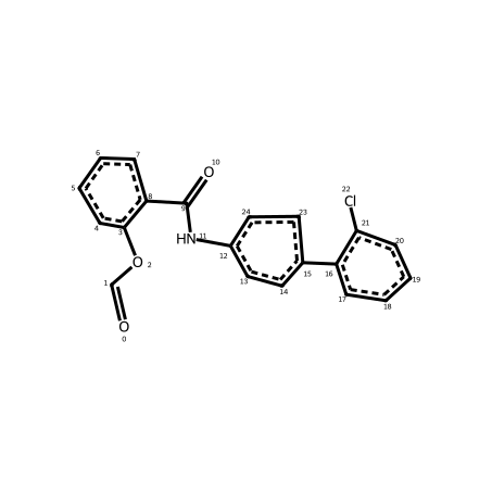 O=COc1ccccc1C(=O)Nc1ccc(-c2ccccc2Cl)cc1